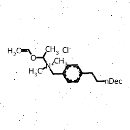 C=COC(C)[N+](C)(C)Cc1ccc(CCCCCCCCCCCC)cc1.[Cl-]